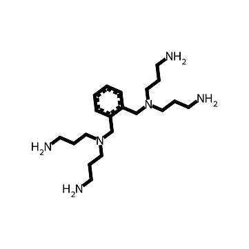 NCCCN(CCCN)Cc1ccccc1CN(CCCN)CCCN